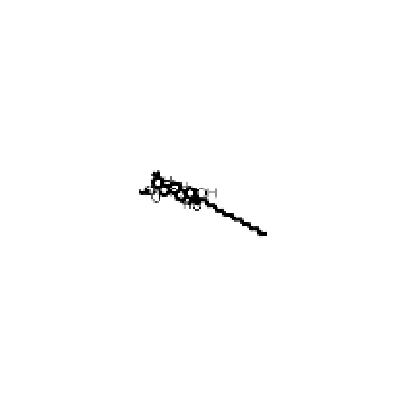 CCCCCCCCCCCCCCCC(=O)[C@]1(O)CC[C@]2(C)[C@H]3CC=C4[C@@H]5CC(C)(C)CC[C@]5(C(=O)OCC)CC[C@@]4(C)[C@]3(C)CC[C@H]2C1(C)C